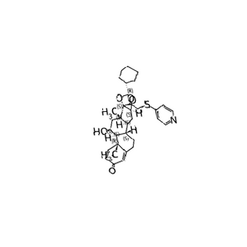 C[C@]12C=CC(=O)C=C1CC[C@@H]1[C@@H]2[C@@H](O)C[C@@]2(C)[C@H]1C[C@@H]1O[C@@H](C3CCCCC3)O[C@]12C(=O)CSc1ccncc1